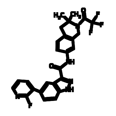 CC1(C)Cc2ccc(NC(=O)c3n[nH]c4ccc(-c5cccnc5F)cc34)cc2CN1C(=O)C(F)(F)F